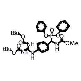 COC(=O)NC(c1ccc(N/C(=N/C(=O)OC(C)(C)C)NC(=O)OC(C)(C)C)cc1)P(=O)(Oc1ccccc1)Oc1ccccc1